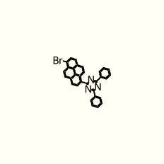 Brc1ccc2ccc3c(-c4nc(-c5ccccc5)nc(-c5ccccc5)n4)ccc4ccc1c2c43